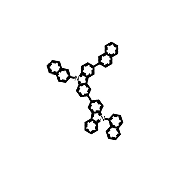 c1ccc2cc(-c3ccc4c(c3)c3cc(-c5ccc6c(c5)c5ccccc5n6-c5cccc6ccccc56)ccc3n4-c3ccc4ccccc4c3)ccc2c1